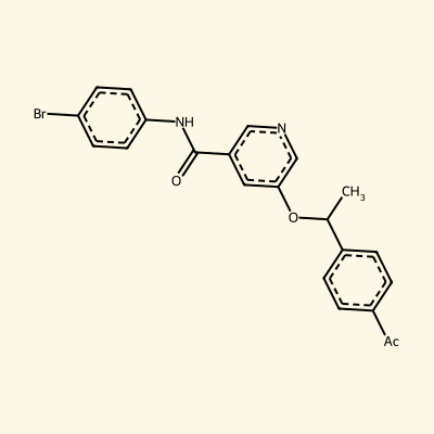 CC(=O)c1ccc(C(C)Oc2cncc(C(=O)Nc3ccc(Br)cc3)c2)cc1